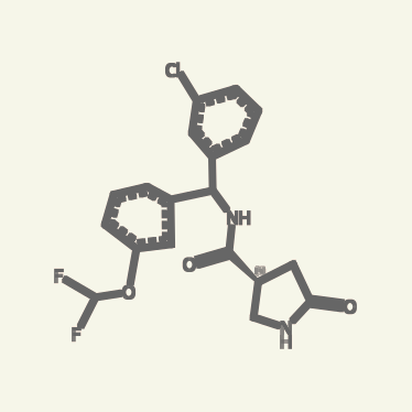 O=C1C[C@H](C(=O)NC(c2cccc(Cl)c2)c2cccc(OC(F)F)c2)CN1